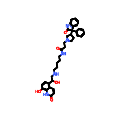 NC(=O)C(c1ccccc1)(c1ccccc1)C1CCN(CCC(=O)NCCCCCNCC(O)c2ccc(O)c3[nH]c(=O)ccc23)C1